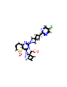 [O-][S@+]1CCCc2nc(N3CC4(CC(c5ncc(Cl)cn5)C4)C3)nc(NC3(CO)CCC3)c21